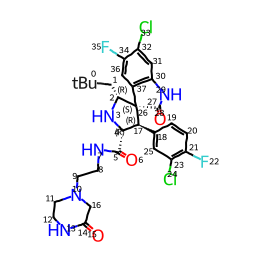 CC(C)(C)C[C@H]1N[C@@H](C(=O)NCCN2CCNC(=O)C2)[C@H](c2ccc(F)c(Cl)c2)[C@@]12C(=O)Nc1cc(Cl)c(F)cc12